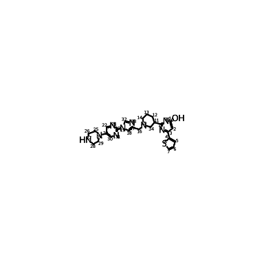 Oc1cc(-c2cccs2)nc(C2CCCN(Cc3cn(-c4ncc(N5CCNCC5)cn4)cn3)C2)n1